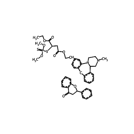 CCOC(=O)CC(SP(=S)(OC)OC)C(=O)OCC.CN1CCN2c3ccccc3Cc3ccccc3C2C1.O=C1CC(c2ccccc2)Oc2ccccc21